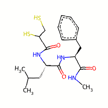 CNC(=O)[C@H](Cc1ccccc1)NC(=O)[C@H](CC(C)C)NC(=O)C(S)CS